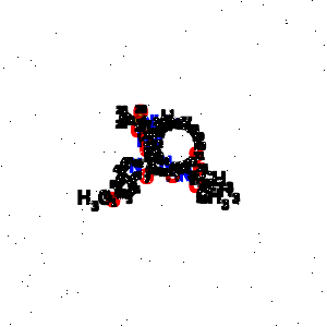 COc1ccc2c(O[C@@H]3C[C@H]4C(=O)N[C@]5(C(=O)NS(=O)(=O)C6CC6)C[C@H]5/C=C\CCCOC[C@H](NC(=O)OC(C)(C)C)C(=O)N4C3)nccc2c1